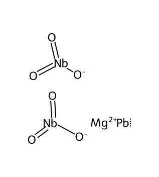 [Mg+2].[O]=[Nb](=[O])[O-].[O]=[Nb](=[O])[O-].[Pb]